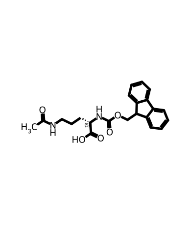 CC(=O)NCCC[C@H](NC(=O)OCC1c2ccccc2-c2ccccc21)C(=O)O